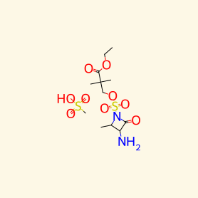 CCOC(=O)C(C)(C)COS(=O)(=O)N1C(=O)C(N)C1C.CS(=O)(=O)O